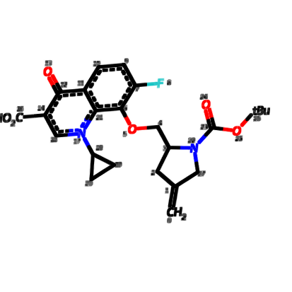 C=C1CC(COc2c(F)ccc3c(=O)c(C(=O)O)cn(C4CC4)c23)N(C(=O)OC(C)(C)C)C1